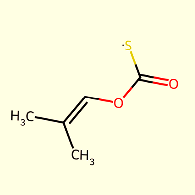 CC(C)=COC(=O)[S]